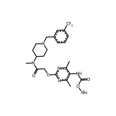 Cc1nc(OCC(=O)N(C)C2CCN(Cc3cccc(C(F)(F)F)c3)CC2)nc(C)c1NC(=O)OC(C)(C)C